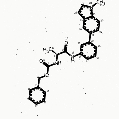 C[C@H](NC(=O)OCc1ccccc1)C(=O)Nc1cccc(-c2ccc3c(ccn3C)c2)c1